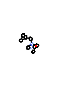 c1ccc(-c2nc(-c3cccc(-c4cc5c6c(cccc6c4)-c4ccccc4-5)c3)nc(-c3ccccc3-n3c4ccccc4c4ccccc43)n2)cc1